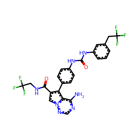 Nc1ncnn2cc(C(=O)NCC(F)(F)F)c(-c3ccc(NC(=O)Nc4cccc(CC(F)(F)F)c4)cc3)c12